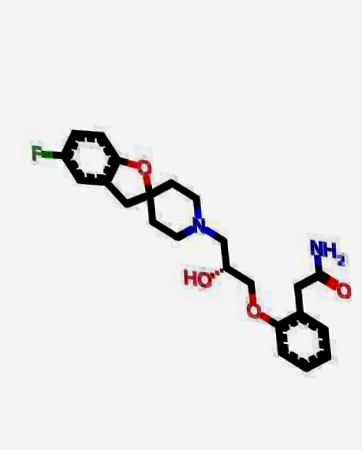 NC(=O)Cc1ccccc1OC[C@H](O)CN1CCC2(CC1)Cc1cc(F)ccc1O2